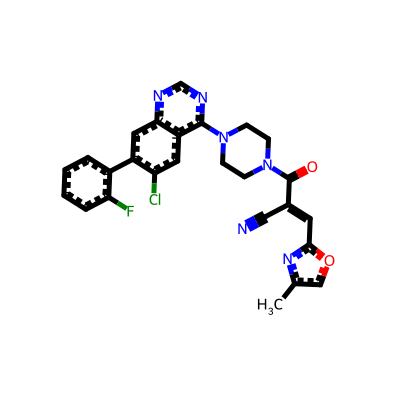 Cc1coc(/C=C(\C#N)C(=O)N2CCN(c3ncnc4cc(-c5ccccc5F)c(Cl)cc34)CC2)n1